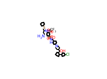 NCCC(CSc1ccccc1)Nc1ccc(S(=O)(=O)NC(=O)c2ccc(N3CCC(C(O)c4ccccc4-c4ccc(Cl)cc4)CC3)cc2)cc1S(=O)(=O)C(F)(F)F